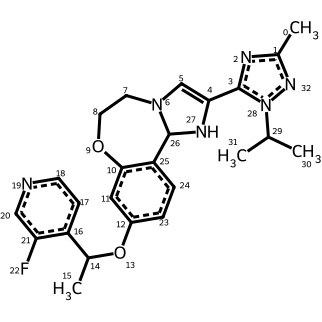 Cc1nc(C2=CN3CCOc4cc(OC(C)c5ccncc5F)ccc4C3N2)n(C(C)C)n1